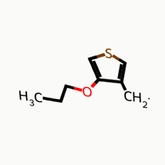 [CH2]c1cscc1OCCC